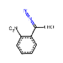 [N-]=[N+]=C(C=O)c1ccccc1[N+](=O)[O-]